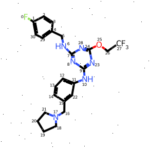 Fc1ccc(CNc2nc(Nc3cccc(CN4CCCC4)c3)nc(OCC(F)(F)F)n2)cc1